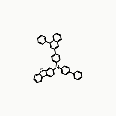 c1ccc(-c2ccc(N(c3ccc(-c4cc(-c5ccccc5)c5ccccc5c4)cc3)c3ccc4c(c3)sc3ccccc34)cc2)cc1